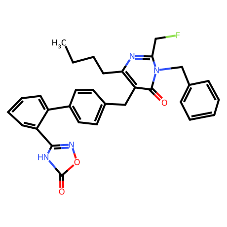 CCCCc1nc(CF)n(Cc2ccccc2)c(=O)c1Cc1ccc(-c2ccccc2-c2noc(=O)[nH]2)cc1